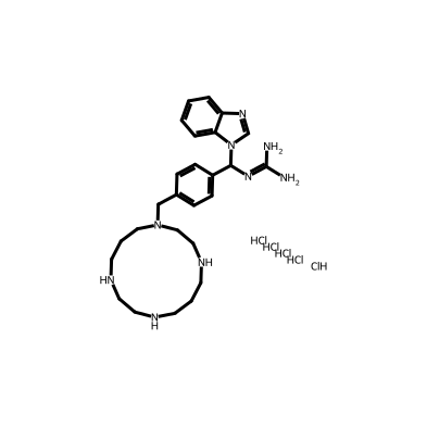 Cl.Cl.Cl.Cl.Cl.NC(N)=NC(c1ccc(CN2CCCNCCNCCCNCC2)cc1)n1cnc2ccccc21